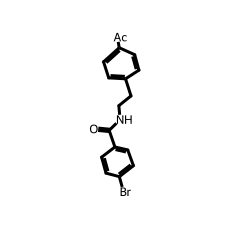 CC(=O)c1ccc(CCNC(=O)c2ccc(Br)cc2)cc1